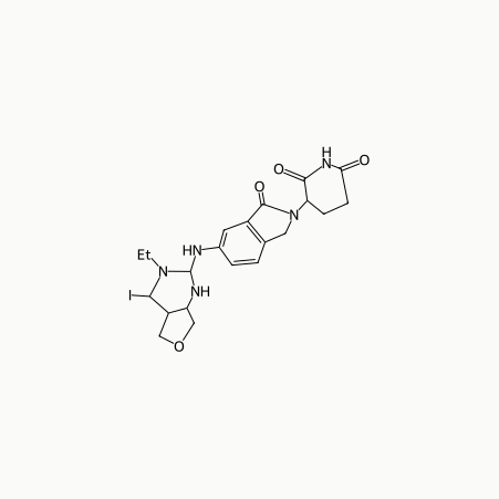 CCN1C(Nc2ccc3c(c2)C(=O)N(C2CCC(=O)NC2=O)C3)NC2COCC2C1I